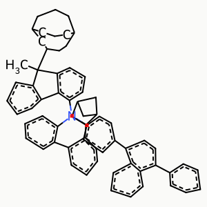 CC1(C2CCC3CCCC(CCC3)C2)c2ccccc2-c2c(N(c3ccc(-c4ccc(-c5ccccc5)c5ccccc45)cc3)c3ccccc3-c3ccccc3C3CC4CC3C4)cccc21